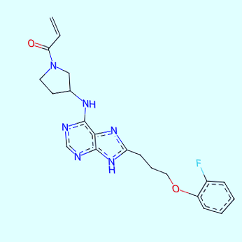 C=CC(=O)N1CCC(Nc2ncnc3[nH]c(CCCOc4ccccc4F)nc23)C1